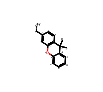 CC(C)Cc1ccc2c(c1)Oc1ccccc1C2(C)C